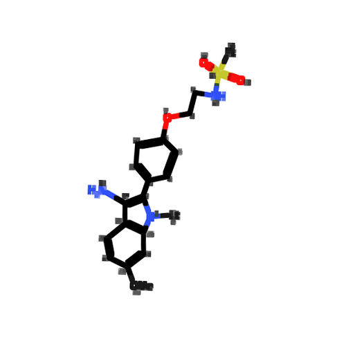 CCn1c(-c2ccc(OCCNS(=O)(=O)CC)cc2)c(N)c2ccc(OC)cc21